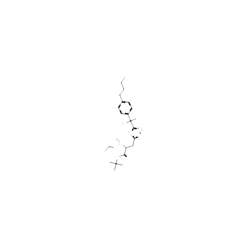 CCCCc1ccc(C(F)(F)c2noc(CC(C(=O)OC(C)(C)C)P(C)(=O)OCC)n2)cc1